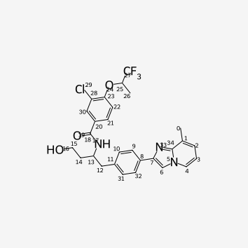 Cc1cccn2cc(-c3ccc(CC(CCO)NC(=O)c4ccc(OC(C)C(F)(F)F)c(Cl)c4)cc3)nc12